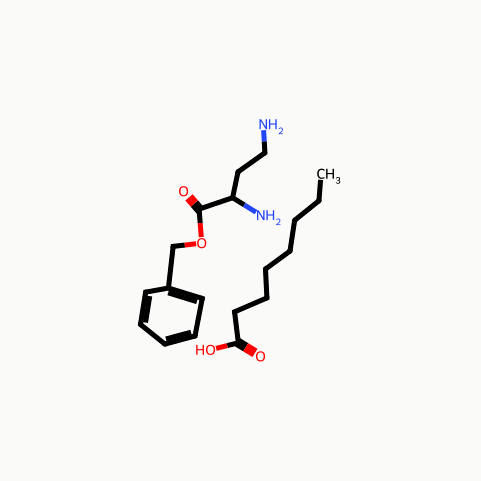 CCCCCCCC(=O)O.NCCC(N)C(=O)OCc1ccccc1